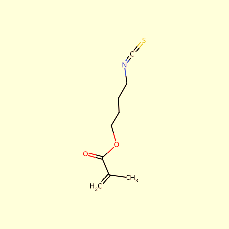 C=C(C)C(=O)OCCCCN=C=S